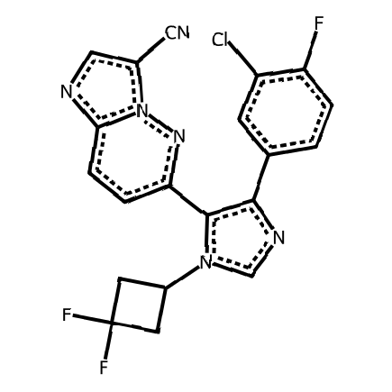 N#Cc1cnc2ccc(-c3c(-c4ccc(F)c(Cl)c4)ncn3C3CC(F)(F)C3)nn12